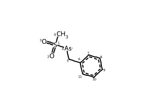 CS(=O)(=O)[As]Cc1ccccc1